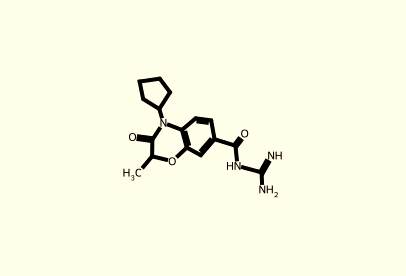 CC1Oc2cc(C(=O)NC(=N)N)ccc2N(C2CCCC2)C1=O